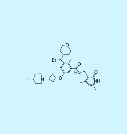 CCN(c1cc(O[C@H]2C[C@@H](N3CCC(C)CC3)C2)cc(C(=O)NCc2c(C)cc(C)[nH]c2=O)c1C)C1CCOCC1